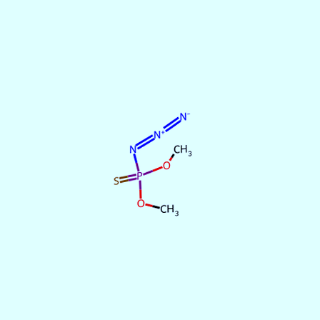 COP(=S)(N=[N+]=[N-])OC